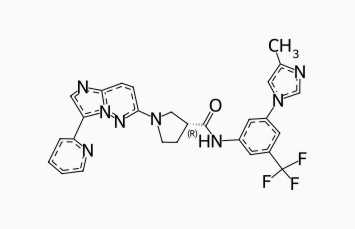 Cc1cn(-c2cc(NC(=O)[C@@H]3CCN(c4ccc5ncc(-c6ccccn6)n5n4)C3)cc(C(F)(F)F)c2)cn1